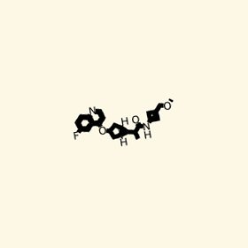 COCC12CC(NC(=O)C(C)C3[C@H]4CC(Oc5ccnc6ccc(F)cc56)C[C@@H]34)(C1)C2